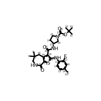 CC1(C)CNC(=O)c2sc(Nc3ccc(I)cc3F)c(C(=O)N[C@H]3CCN(C(=O)OC(C)(C)C)C3)c2C1